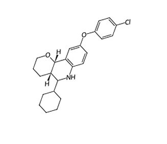 Clc1ccc(Oc2ccc3c(c2)[C@H]2OCCC[C@H]2C(C2CCCCC2)N3)cc1